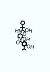 CC(C)c1cc(C(=O)N2CCC(N[C@H](C(=O)O)C(C)(C)C3CCCC3)CC2)c(O)cc1O